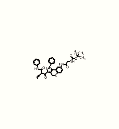 CC(C)(C)OC(=O)NCC(=O)Nc1ccc2c(c1)-c1c(c(C(=O)C(C#N)C(=O)Nc3ccccc3)nn1-c1ccccc1)CS2